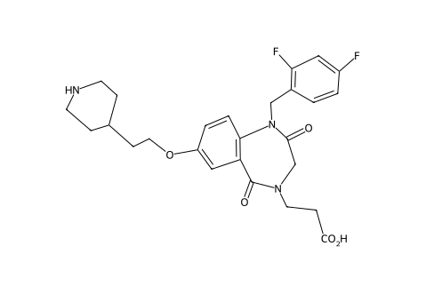 O=C(O)CCN1CC(=O)N(Cc2ccc(F)cc2F)c2ccc(OCCC3CCNCC3)cc2C1=O